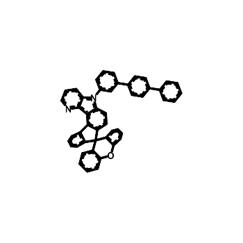 c1ccc(-c2ccc(-c3cccc(-n4c5cccnc5c5c6c(ccc54)C4(c5ccccc5Oc5ccccc54)c4ccccc4-6)c3)cc2)cc1